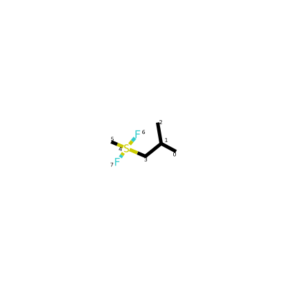 CC(C)CS(C)(F)F